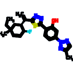 C=C(c1nnc(-c2ccc(-n3ncc(C)n3)cc2O)s1)[C@H]1C[C@@](C)(CC)C=C[C@@H]1F